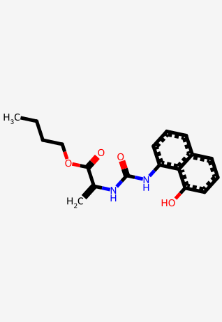 C=C(NC(=O)Nc1cccc2cccc(O)c12)C(=O)OCCCC